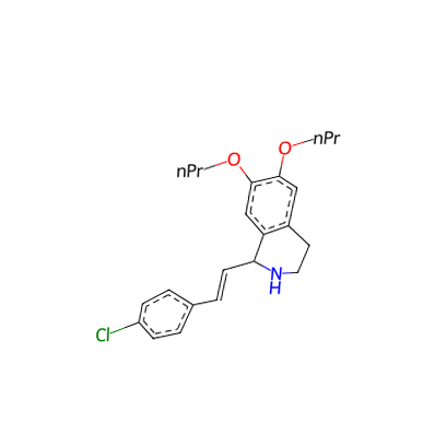 CCCOc1cc2c(cc1OCCC)C(C=Cc1ccc(Cl)cc1)NCC2